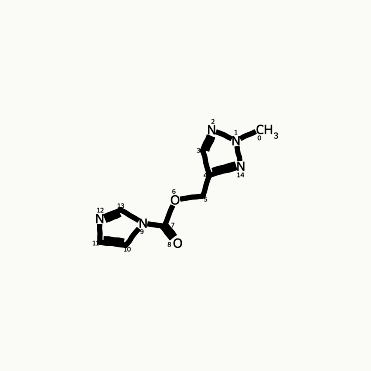 Cn1ncc(COC(=O)n2ccnc2)n1